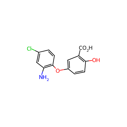 Nc1cc(Cl)ccc1Oc1ccc(O)c(C(=O)O)c1